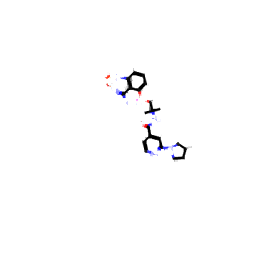 CC(C)(COc1cccc2c1C(N)=NS(=O)(=O)N2)NC(=O)c1ccnc(N2CCCC2)c1